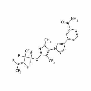 Cn1nc(OC(F)(F)C(F)(C(F)=C(F)C(F)(F)F)C(F)(F)F)c(C(F)(F)F)c1-n1cc(-c2cccc(C(N)=O)c2)cn1